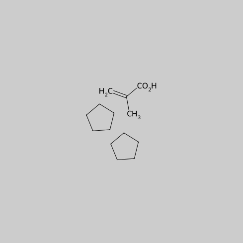 C1CCCC1.C1CCCC1.C=C(C)C(=O)O